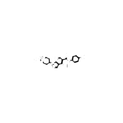 O=C(Nc1ccc(Cl)cc1)c1cnc2c(cnn2C2CCS(O)(O)CC2)c1Cl